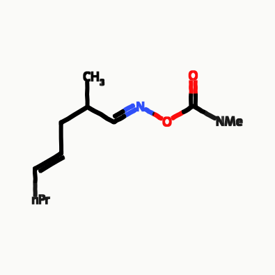 CCC/C=C/CC(C)/C=N/OC(=O)NC